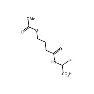 COC(=O)OCCCC(=O)NC(C(=O)O)C(C)C